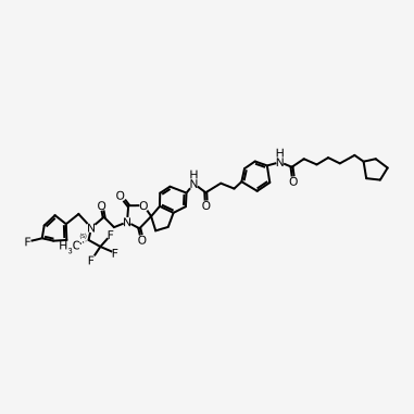 C[C@H](N(Cc1ccc(F)cc1)C(=O)CN1C(=O)OC2(CCc3cc(NC(=O)CCc4ccc(NC(=O)CCCCCC5CCCC5)cc4)ccc32)C1=O)C(F)(F)F